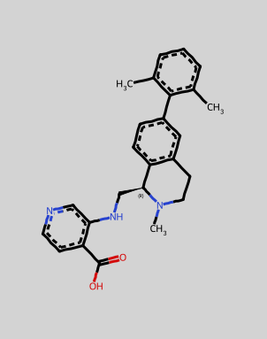 Cc1cccc(C)c1-c1ccc2c(c1)CCN(C)[C@H]2CNc1cnccc1C(=O)O